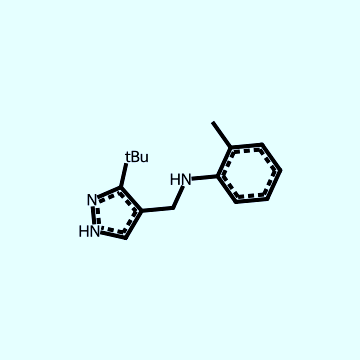 Cc1ccccc1NCc1c[nH]nc1C(C)(C)C